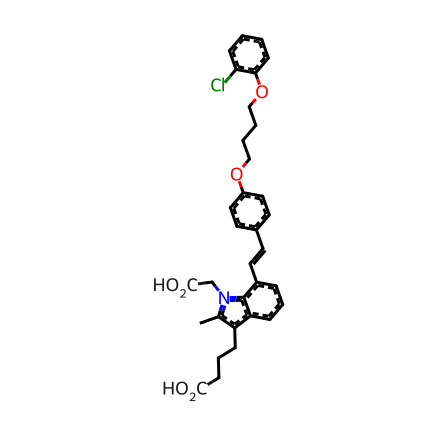 Cc1c(CCCC(=O)O)c2cccc(C=Cc3ccc(OCCCCOc4ccccc4Cl)cc3)c2n1CC(=O)O